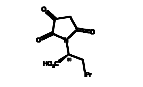 CC(C)C[C@@H](C(=O)O)N1C(=O)CC(=O)C1=O